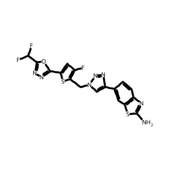 Nc1nc2ccc(-c3cn(Cc4sc(-c5nnc(C(F)F)o5)cc4F)nn3)cc2s1